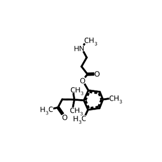 CNCCC(=O)Oc1cc(C)cc(C)c1C(C)(C)CC(C)=O